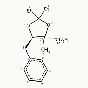 CCC1(CC)O[C@H](Cc2ccccc2)[C@@](C)(C(=O)O)O1